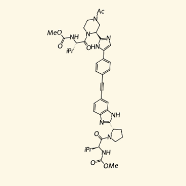 COC(=O)N[C@H](C(=O)N1CCN(C(C)=O)C[C@H]1c1ncc(-c2ccc(C#Cc3ccc4nc([C@@H]5CCCN5C(=O)[C@@H](NC(=O)OC)C(C)C)[nH]c4c3)cc2)[nH]1)C(C)C